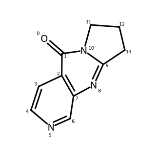 O=c1c2ccncc2nc2n1CCC2